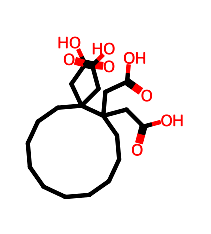 O=C(O)CC1(CC(=O)O)CCCCCCCCCCC1(CC(=O)O)CC(=O)O